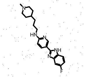 CN1CCC(CCCNc2ccc(-c3nc4cc(F)ccc4[nH]3)cn2)CC1